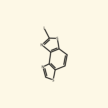 Ic1nc2c(ccc3scnc32)s1